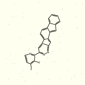 Fc1ccnc(-c2cc3c(nn2)C=c2c-3ccc3c2=Cc2ccccc2-3)c1F